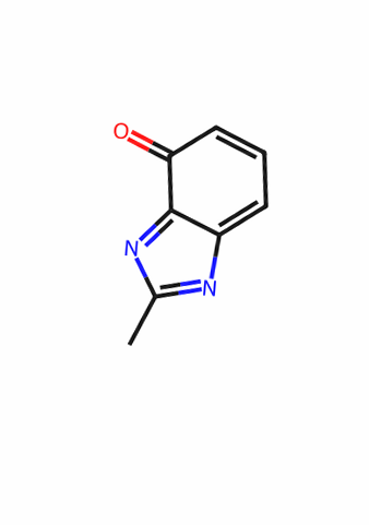 CC1=NC2=CC=CC(=O)C2=N1